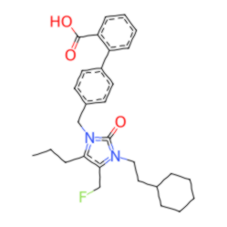 CCCc1c(CF)n(CCC2CCCCC2)c(=O)n1Cc1ccc(-c2ccccc2C(=O)O)cc1